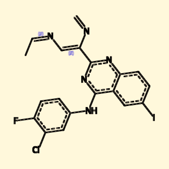 C=N/C(=C\N=C/C)c1nc(Nc2ccc(F)c(Cl)c2)c2cc(I)ccc2n1